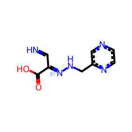 N=C/C(=N\NCc1cnccn1)C(=O)O